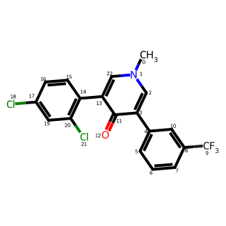 Cn1cc(-c2cccc(C(F)(F)F)c2)c(=O)c(-c2ccc(Cl)cc2Cl)c1